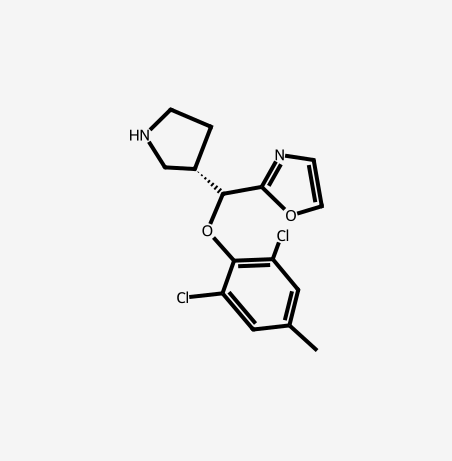 Cc1cc(Cl)c(OC(c2ncco2)[C@H]2CCNC2)c(Cl)c1